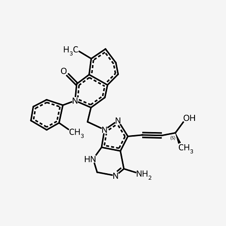 Cc1ccccc1-n1c(Cn2nc(C#C[C@H](C)O)c3c2NCN=C3N)cc2cccc(C)c2c1=O